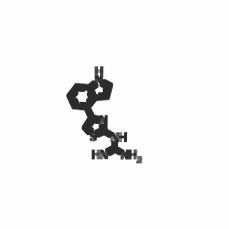 N=C(N)Nc1nc(-c2cccc3[nH]ccc23)cs1